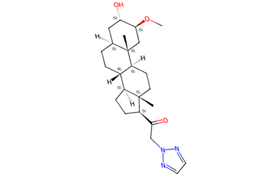 CO[C@H]1C[C@@]2(C)[C@@H](CC[C@@H]3[C@@H]2CC[C@]2(C)[C@@H](C(=O)Cn4nccn4)CC[C@@H]32)C[C@@H]1O